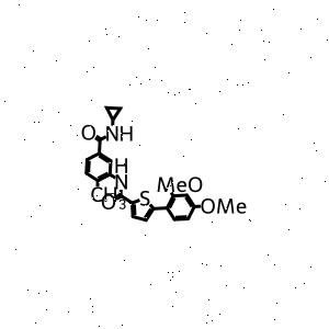 COc1ccc(-c2ccc(C(=O)Nc3cc(C(=O)NC4CC4)ccc3C)s2)c(OC)c1